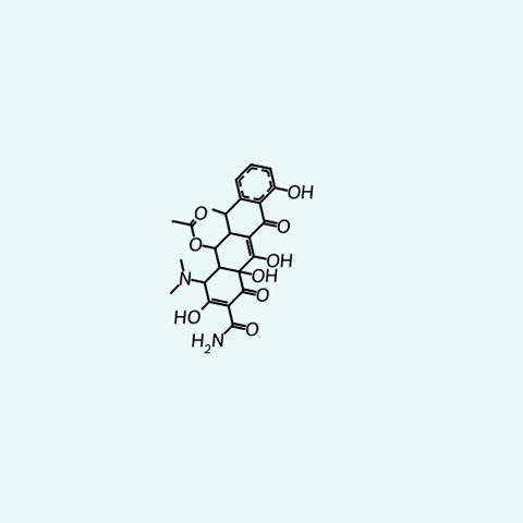 CC(=O)OC1C2C(=C(O)C3(O)C(=O)C(C(N)=O)=C(O)C(N(C)C)C13)C(=O)c1c(O)cccc1C2C